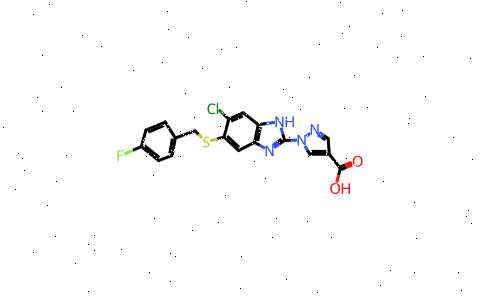 O=C(O)c1cnn(-c2nc3cc(SCc4ccc(F)cc4)c(Cl)cc3[nH]2)c1